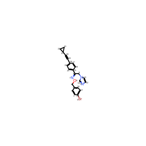 Brc1ccc(CO/N=C(\Cn2ccnc2)c2ccc(C#CC3CC3)cc2)cc1